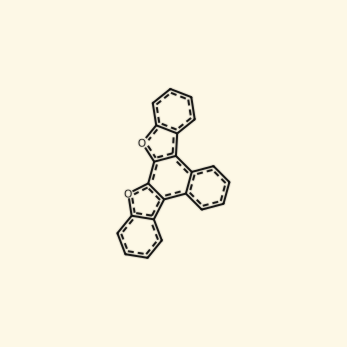 c1ccc2c(c1)oc1c3oc4ccccc4c3c3ccccc3c21